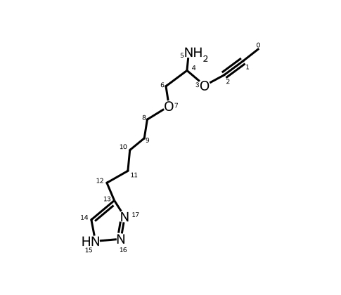 CC#COC(N)COCCCCCc1c[nH]nn1